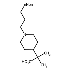 CCCCCCCCCCCCN1CCC(C(C)(C)C(=O)O)CC1